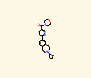 O=C(c1ccc(-c2ccc3c(c2)CCN(C2CCC2)CC3)nc1)N1CCOCC1